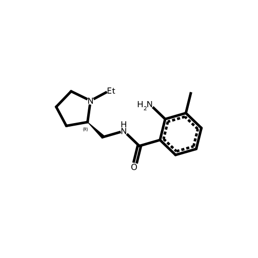 CCN1CCC[C@@H]1CNC(=O)c1cccc(C)c1N